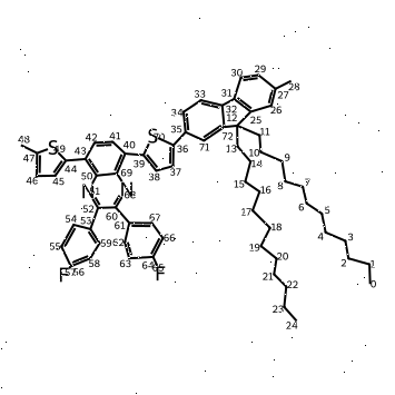 CCCCCCCCCCCCC1(CCCCCCCCCCCC)c2cc(C)ccc2-c2ccc(-c3ccc(-c4ccc(-c5ccc(C)s5)c5nc(-c6ccc(F)cc6)c(-c6ccc(F)cc6)nc45)s3)cc21